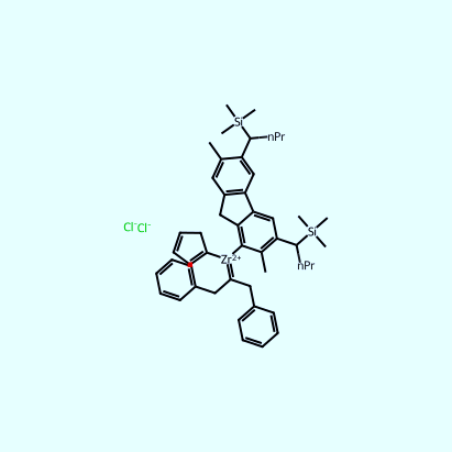 CCCC(c1cc2c(cc1C)Cc1c-2cc(C(CCC)[Si](C)(C)C)c(C)[c]1[Zr+2]([C]1=CC=CC1)=[C](Cc1ccccc1)Cc1ccccc1)[Si](C)(C)C.[Cl-].[Cl-]